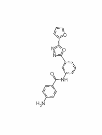 Nc1ccc(C(=O)Nc2cccc(-c3nnc(-c4ccco4)o3)c2)cc1